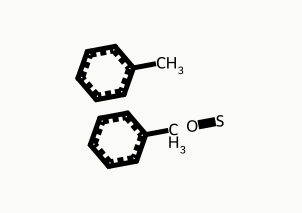 Cc1ccccc1.Cc1ccccc1.O=S